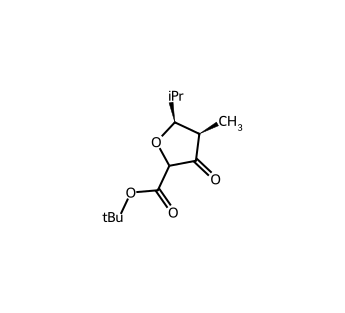 CC(C)[C@@H]1OC(C(=O)OC(C)(C)C)C(=O)[C@@H]1C